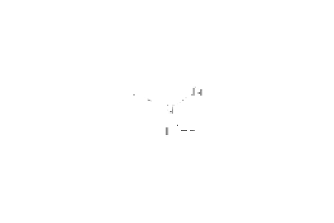 Br[SiH2]Br.F.F